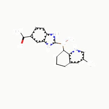 CC(=O)c1ccc2[nH]c([S+]([O-])C3CCCc4cc(C)cnc43)nc2c1